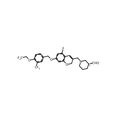 O=C[C@H]1CCCN(CC2=Cc3c(F)cc(OCc4ccc(OCC(F)(F)F)c(C(F)(F)F)c4)cc3OC2)C1